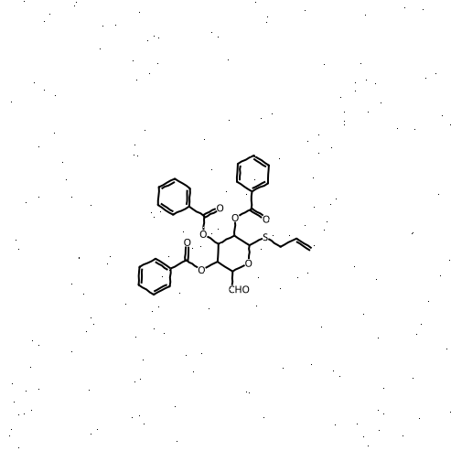 C=CCSC1OC(C=O)C(OC(=O)c2ccccc2)C(OC(=O)c2ccccc2)C1OC(=O)c1ccccc1